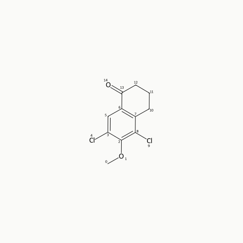 COc1c(Cl)cc2c(c1Cl)CCCC2=O